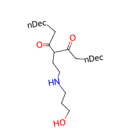 CCCCCCCCCCCC(=O)C(CCNCCCO)C(=O)CCCCCCCCCCC